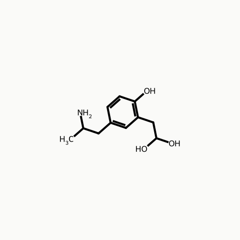 CC(N)Cc1ccc(O)c(CC(O)O)c1